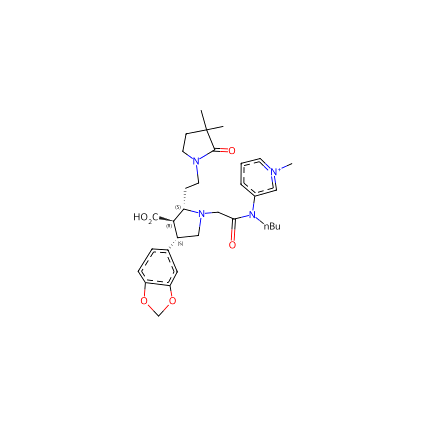 CCCCN(C(=O)CN1C[C@H](c2ccc3c(c2)OCO3)[C@@H](C(=O)O)[C@@H]1CCN1CCC(C)(C)C1=O)c1ccc[n+](C)c1